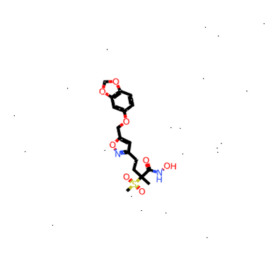 CC(CCc1cc(COc2ccc3c(c2)OCO3)on1)(C(=O)NO)S(C)(=O)=O